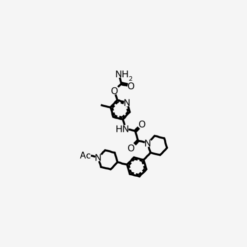 CC(=O)N1CCC(c2cccc(C3CCCCN3C(=O)C(=O)Nc3cnc(OC(N)=O)c(C)c3)c2)CC1